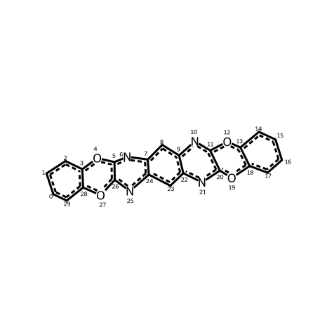 c1ccc2oc3nc4cc5nc6oc7ccccc7oc6nc5cc4nc3oc2c1